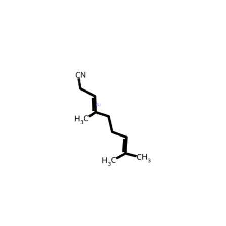 CC(C)=CCC/C(C)=C/CC#N